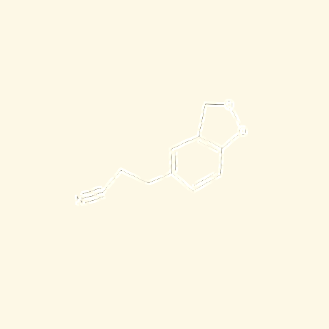 N#CCCc1ccc2c(c1)COO2